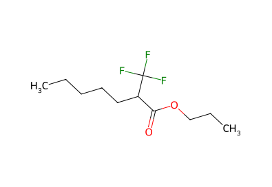 CCCCCC(C(=O)OCCC)C(F)(F)F